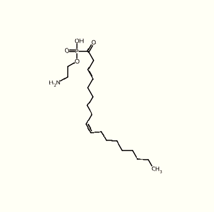 CCCCCCCC/C=C\CCCCCCCC(=O)P(=O)(O)OCCN